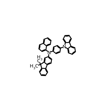 CC1(C)c2ccccc2-c2ccc(N(c3ccc(-n4c5ccccc5c5ccccc54)cc3)c3cccc4ccccc34)cc21